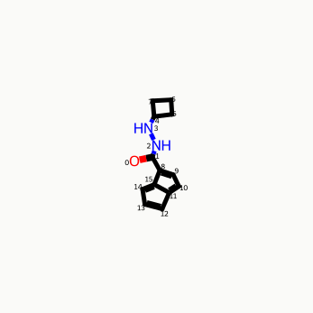 O=C(NNC1CCC1)C1=CC=C2C=CC=C21